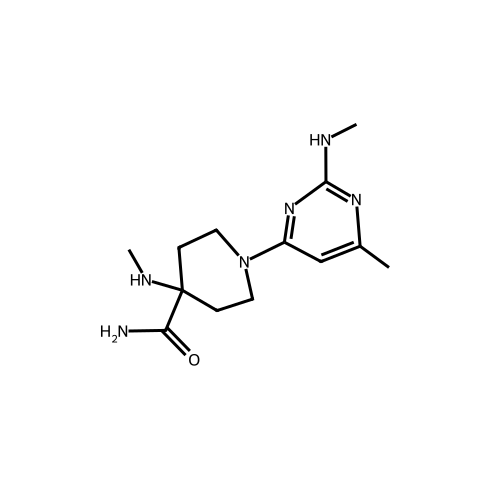 CNc1nc(C)cc(N2CCC(NC)(C(N)=O)CC2)n1